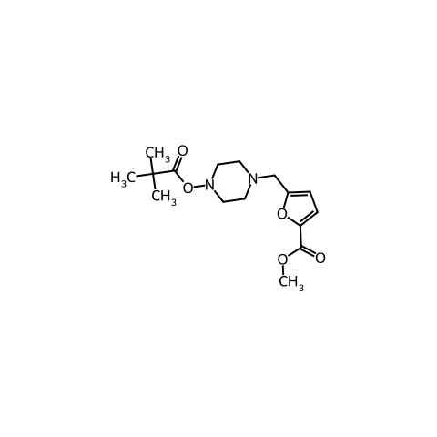 COC(=O)c1ccc(CN2CCN(OC(=O)C(C)(C)C)CC2)o1